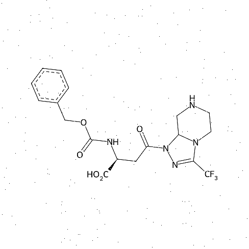 O=C(N[C@@H](CC(=O)N1N=C(C(F)(F)F)N2CCNCC21)C(=O)O)OCc1ccccc1